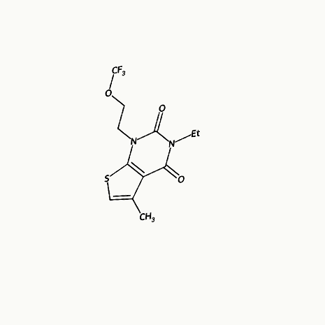 CCn1c(=O)c2c(C)csc2n(CCOC(F)(F)F)c1=O